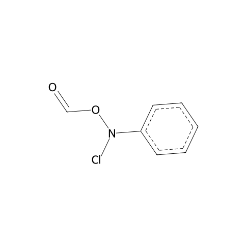 O=CON(Cl)c1ccccc1